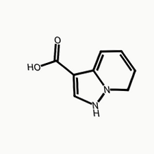 O=C(O)C1=CNN2CC=CC=C12